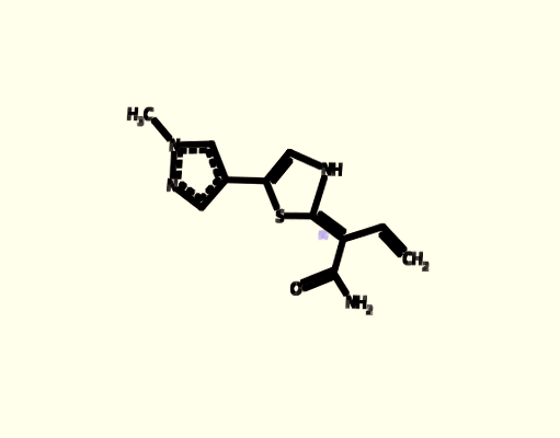 C=C/C(C(N)=O)=C1\NC=C(c2cnn(C)c2)S1